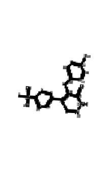 CS(=O)(=O)c1ccc(-c2cn[nH]c(=O)c2Cc2ccc(F)cc2)cc1